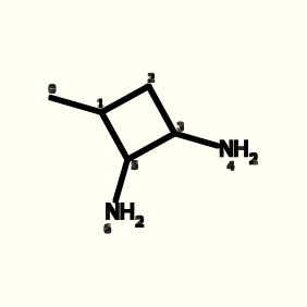 CC1CC(N)C1N